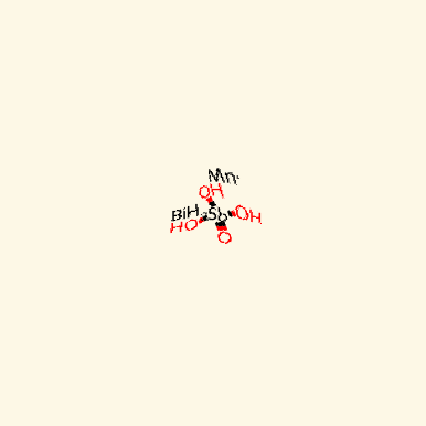 [BiH3].[Mn].[O]=[Sb]([OH])([OH])[OH]